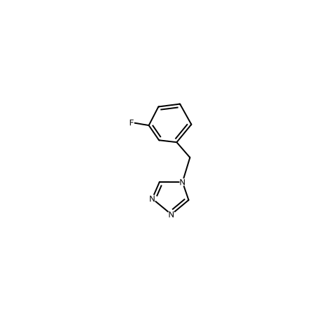 Fc1cccc(Cn2cnnc2)c1